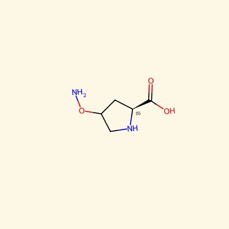 NOC1CN[C@H](C(=O)O)C1